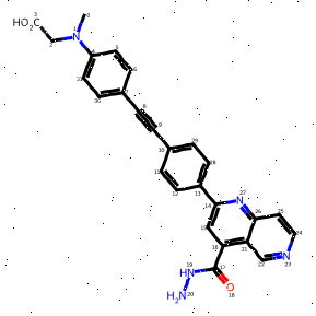 CN(CC(=O)O)c1ccc(C#Cc2ccc(-c3cc(C(=O)NN)c4cnccc4n3)cc2)cc1